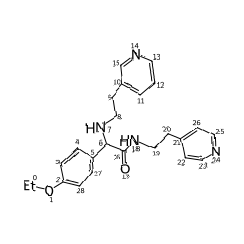 CCOc1ccc(C(NCCc2cccnc2)C(=O)NCCc2ccncc2)cc1